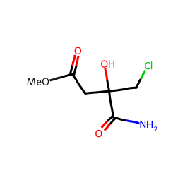 COC(=O)CC(O)(CCl)C(N)=O